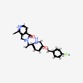 Cc1nccc2c1CN(C(C)C1=CC=C(OCc3ccc(F)cc3)CN1)C2=O